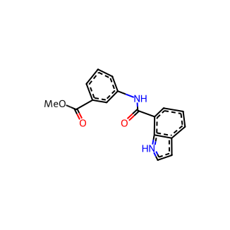 COC(=O)c1cccc(NC(=O)c2cccc3cc[nH]c23)c1